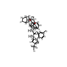 Cc1ccc(-n2nc(C(C)(C)C)cc2NC(=O)Nc2cccc(CC3CC4CCC(C3)N4C(=O)c3csnn3)c2)cc1